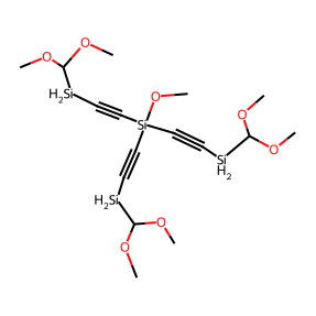 COC(OC)[SiH2]C#C[Si](C#C[SiH2]C(OC)OC)(C#C[SiH2]C(OC)OC)OC